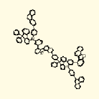 c1ccc(C2(c3ccc(-c4ccc5ccc6c(oc7cccc(-c8cccc(N(c9ccc(-c%10ccc%11c(ccc%12ccccc%12%11)c%10)cc9)c9cccc%10c9-c9ccccc9C%10(c9ccccc9)c9ccccc9)c8)c76)c5c4)cc3)c3ccccc3-c3c(N(c4ccc(-c5cc6ccccc6c6ccccc56)cc4)c4cccc(-c5cccc6oc7c8ccccc8ccc7c56)c4)cccc32)cc1